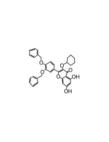 O=c1c(OC2CCCCC2)c(-c2ccc(OCc3ccccc3)c(OCc3ccccc3)c2)oc2cc(O)cc(O)c12